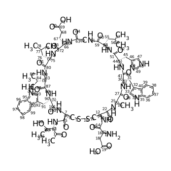 CC(=O)[C@@H](NC(=O)[C@@H]1CSSC[C@H](NC(=O)[C@@H](N)CC(=O)O)C(=O)N[C@@H](C)C(=O)N[C@@H](Cc2c[nH]c3ccccc23)C(=O)N[C@@H](Cc2c[nH]cn2)C(=O)N[C@@H](CC(C)C)C(=O)NCC(=O)N[C@@H](CCC(=O)O)C(=O)N[C@@H](CC(C)C)C(=O)N[C@@H](C(C)C)C(=O)N[C@@H](Cc2c[nH]c3ccccc23)C(=O)N1)[C@@H](C)O